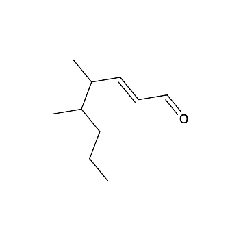 CCCC(C)C(C)/C=C/C=O